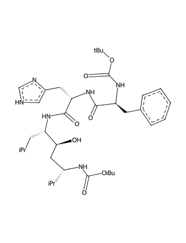 CC(C)COC(=O)N[C@@H](C[C@H](O)[C@H](CC(C)C)NC(=O)[C@H](Cc1c[nH]cn1)NC(=O)[C@H](Cc1ccccc1)NC(=O)OC(C)(C)C)C(C)C